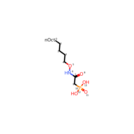 CCCCCCCCCCCCONC(=O)CP(=O)(O)O